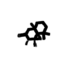 C[C@@H]1C(=O)C[C@]2(C)CCCC(C)(C)[C@@]23C[C@@H]13